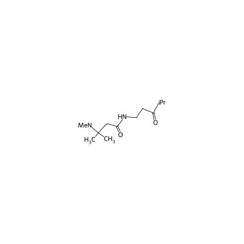 CNC(C)(C)CC(=O)NCCC(=O)C(C)C